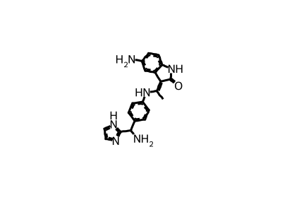 CC(Nc1ccc(C(N)c2ncc[nH]2)cc1)=C1C(=O)Nc2ccc(N)cc21